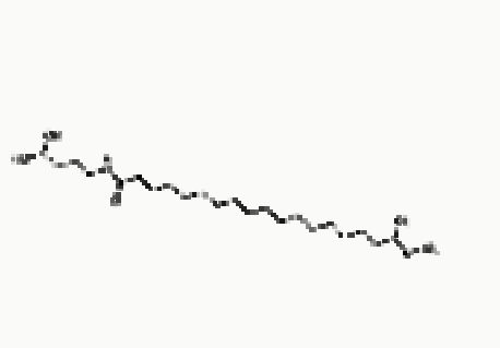 CC(C)(C)OC(O)CCCCCCCCCCCCCCCCC(=O)NCCCC(O)O